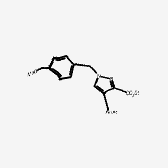 CCOC(=O)c1nn(Cc2ccc(OC)cc2)cc1NC(C)=O